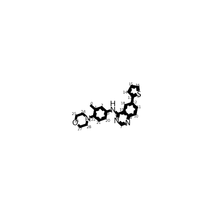 Cc1cc(Nc2ncnc3ccc(-c4cccs4)cc23)ccc1N1CCOCC1